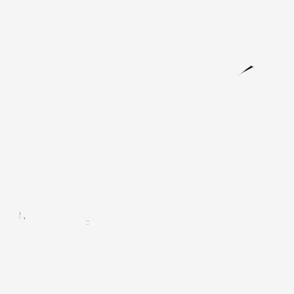 CC[C@H]1CC[C@H](CCC(Oc2ccc(C#N)c(F)c2)c2ccccc2)CC1